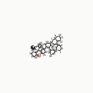 c1ccc(C2(c3ccc4ccccc4c3)c3ccccc3-c3c(-c4ccc5c(c4)C4(c6ccccc6O5)c5ccccc5-c5ccccc54)cccc32)cc1